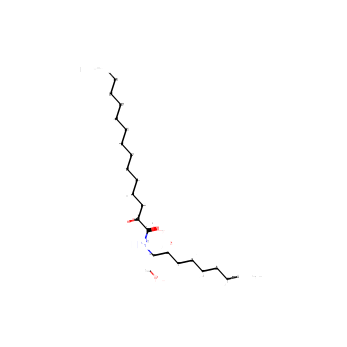 CCCCCCCCCCCCCCCCCCCCCC(O)C(=O)N[C@@H](CO)[C@H](O)CCCCCCCCCCCCCCC